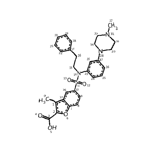 Cc1c(C(=O)O)oc2ccc(S(=O)(=O)N(CCc3ccccc3)c3cccc(N4CCN(C)CC4)c3)cc12